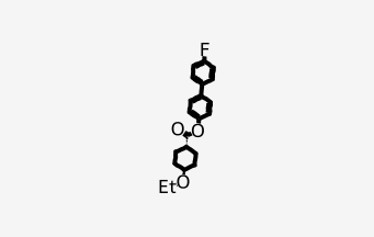 CCO[C@H]1CC[C@H](C(=O)Oc2ccc(-c3ccc(F)cc3)cc2)CC1